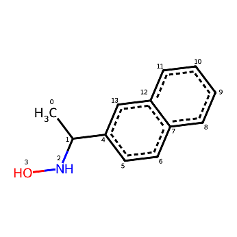 CC(NO)c1ccc2ccccc2c1